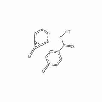 CC(C)OC(=O)n1ccc(=O)cc1.O=c1c2ccccc12